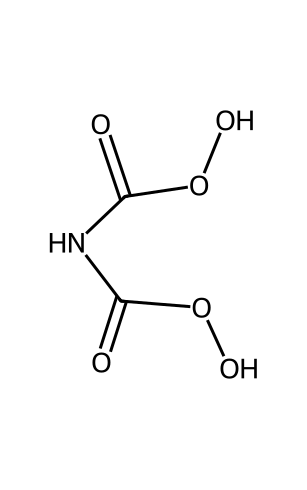 O=C(NC(=O)OO)OO